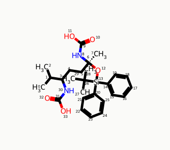 CC(C)C(CC[C@@](C)(NC(=O)O)O[Si](c1ccccc1)(c1ccccc1)C(C)(C)C)NC(=O)O